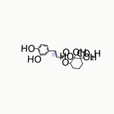 O=C(/C=C/c1ccc(O)c(O)c1)OC1CCCC(O)(C(=O)O)C1(O)O